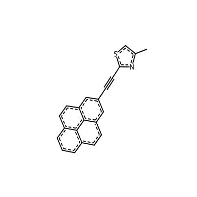 Cc1csc(C#Cc2cc3ccc4cccc5ccc(c2)c3c45)n1